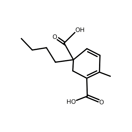 CCCCC1(C(=O)O)C=CC(C)=C(C(=O)O)C1